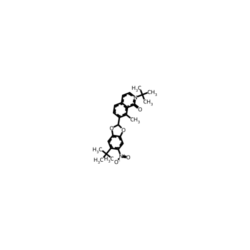 Cc1c(C2Oc3cc([N+](=O)[O-])c(C(C)(C)C)cc3O2)ccc2ccn(C(C)(C)C)c(=O)c12